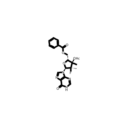 CC(=O)O[C@]1(C)[C@@H](COC(=O)c2ccccc2)O[C@H](n2cnc3c(=O)[nH]cnc32)[C@]1(C)F